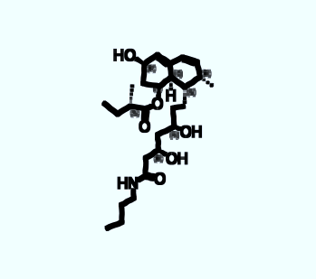 CCCCNC(=O)C[C@H](O)C[C@H](O)CC[C@@H]1[C@@H]2C(=C[C@H](O)C[C@@H]2OC(=O)[C@@H](C)CC)C=C[C@@H]1C